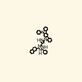 C1=CCC(C2NC(c3c[nH]c(-n4c5ccccc5c5cc6c7ccccc7n(-c7ccccc7)c6cc54)c3)=NC(C3=Cc4ccccc4CC3)N2)C=C1